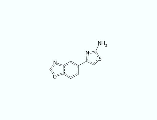 Nc1nc(-c2ccc3ocnc3c2)cs1